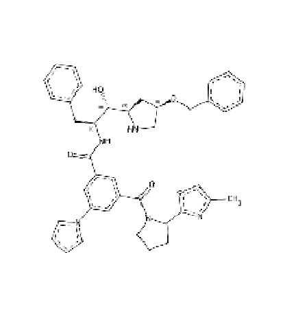 Cc1csc(C2CCCN2C(=O)c2cc(C(=O)N[C@@H](Cc3ccccc3)[C@H](O)[C@H]3C[C@@H](OCc4ccccc4)CN3)cc(-n3cccc3)c2)n1